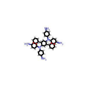 Nc1ccc(N(c2ccc(N)cc2)c2cc(-c3ccccc3)c(N(c3ccc(N)cc3)c3ccc(N)cc3)cc2-c2ccccc2)cc1